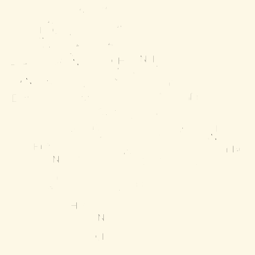 CCCCNc1ccc(C(=O)OCCN(C)C)cc1.CCCOc1ccc(C(=O)OCCN(CC)CC)cc1N.CCN(CC)CC(=O)Nc1c(C)cccc1C